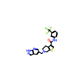 O=C(Nc1cccc(C(F)(F)F)c1)c1csc2c1CCN(Cc1cnc3[nH]ncc3c1)C2